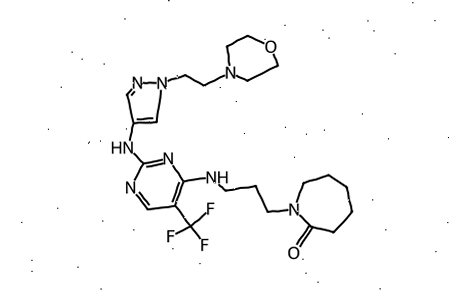 O=C1CCCCCN1CCCNc1nc(Nc2cnn(CCN3CCOCC3)c2)ncc1C(F)(F)F